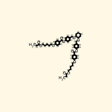 C=CC(=O)OCCCCCOc1ccc(C(=O)Oc2ccc(CO[C@@H]3CCCC[C@H]3OCc3ccc(OC(=O)c4ccc(OCCCCCOC(=O)C=C)cc4)cc3)cc2)cc1